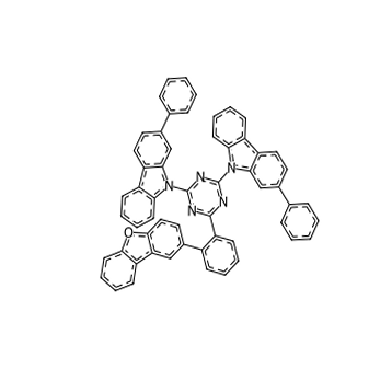 c1ccc(-c2ccc3c4ccccc4n(-c4nc(-c5ccccc5-c5ccc6oc7ccccc7c6c5)nc(-n5c6ccccc6c6ccc(-c7ccccc7)cc65)n4)c3c2)cc1